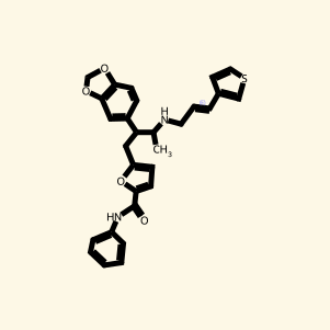 CC(NC/C=C/c1ccsc1)C(Cc1ccc(C(=O)Nc2ccccc2)o1)c1ccc2c(c1)OCO2